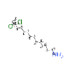 C[Si](Cl)(Cl)CCCCCCCCCCCCN